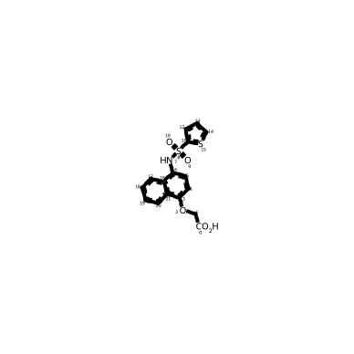 O=C(O)COc1ccc(NS(=O)(=O)c2cccs2)c2ccccc12